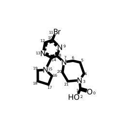 O=C(O)N1CCCN(c2nc(Br)cnc2N2CCCC2)CC1